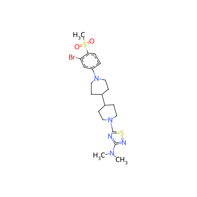 CN(C)c1nsc(N2CCC(C3CCN(c4ccc(S(C)(=O)=O)c(Br)c4)CC3)CC2)n1